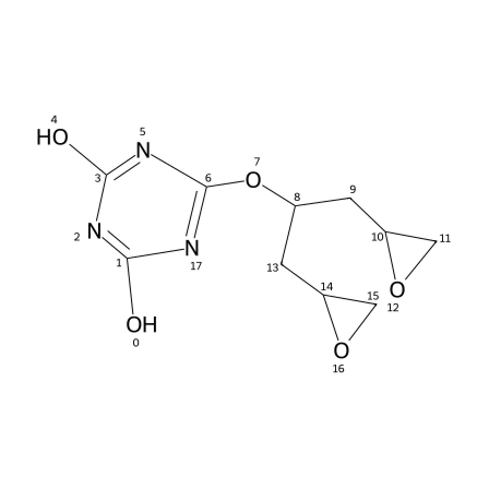 Oc1nc(O)nc(OC(CC2CO2)CC2CO2)n1